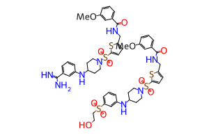 COc1cccc(C(=O)NCc2ccc(S(=O)(=O)N3CCC(Nc4cccc(C(=N)N)c4)CC3)s2)c1.COc1cccc(C(=O)NCc2ccc(S(=O)(=O)N3CCC(Nc4cccc(S(=O)(=O)CCO)c4)CC3)s2)c1